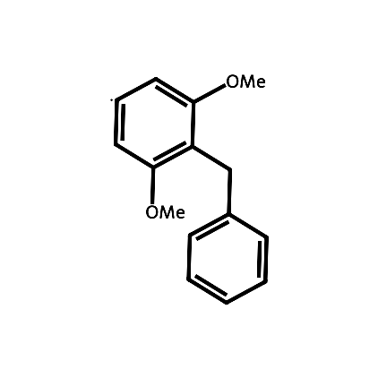 COc1c[c]cc(OC)c1Cc1ccccc1